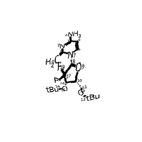 C=C1N=C(N)C=CN1[C@@H]1O[C@H](COC(C)(C)C)[C@H](OC(C)(C)C)C1(F)F